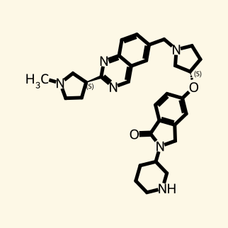 CN1CC[C@H](c2ncc3cc(CN4CC[C@H](Oc5ccc6c(c5)CN(C5CCCNC5)C6=O)C4)ccc3n2)C1